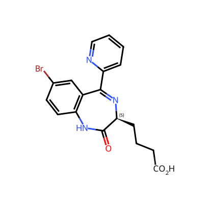 O=C(O)CCC[C@@H]1N=C(c2ccccn2)c2cc(Br)ccc2NC1=O